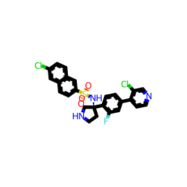 O=C1NCC[C@]1(NS(=O)(=O)c1ccc2cc(Cl)ccc2c1)c1ccc(-c2ccncc2Cl)cc1F